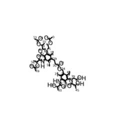 CC(=O)OCCN(C(=O)C(C)OC(C)=O)c1c(I)c(CCC(=O)OCc2c(I)c(NC(=O)C(C)O)c(I)c(N(CCO)C(=O)C(C)O)c2I)c(I)c(NC(=O)C(C)OC(C)=O)c1I